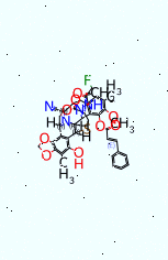 C=CCN1C2c3c(cc(C)c(OC)c3OC(=O)/C=C/c3ccccc3)CC1[C@H](C#N)N1[C@H]2[C@@H]2SCC(NC(=O)CF)C(=O)OC[C@H]1c1c3c(c(C)c(O)c12)OCO3